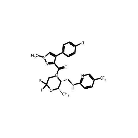 C[C@@H]1OC(F)(F)CN(C(=O)c2nn(C)cc2-c2ccc(Cl)cc2)[C@@H]1CNc1ccc(C(F)(F)F)cn1